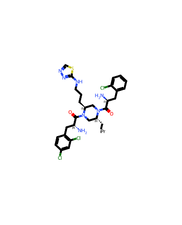 CC(C)C[C@@H]1CN(C(=O)[C@H](N)Cc2ccc(Cl)cc2Cl)[C@@H](CCCNc2nncs2)CN1C(=O)[C@@H](N)Cc1ccccc1Cl